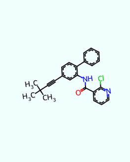 CC(C)(C)C#Cc1ccc(-c2ccccc2)c(NC(=O)c2cccnc2Cl)c1